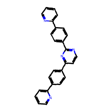 c1ccc(-c2ccc(-c3ccnc(-c4ccc(-c5ccccn5)cc4)n3)cc2)nc1